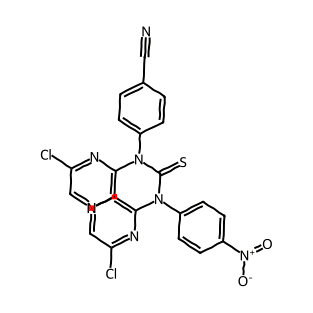 N#Cc1ccc(N(C(=S)N(c2ccc([N+](=O)[O-])cc2)c2cncc(Cl)n2)c2cncc(Cl)n2)cc1